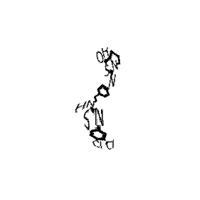 O=C1S/C(=N\c2ccc(CCNc3nc4cc(Cl)c(Cl)cc4s3)cc2)N2CCC[C@@H]12